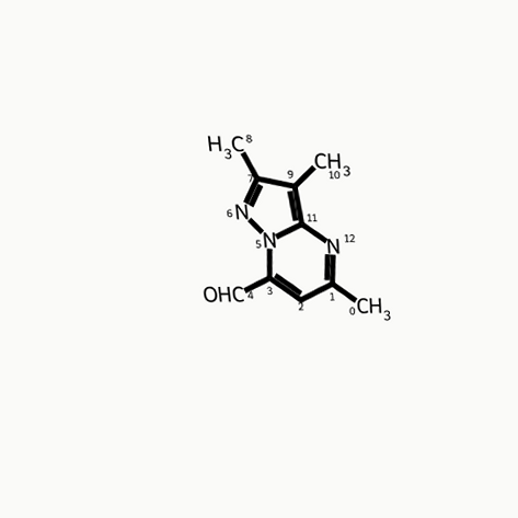 Cc1cc(C=O)n2nc(C)c(C)c2n1